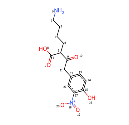 NCCCCC(C(=O)O)C(=O)Cc1ccc(O)c([N+](=O)[O-])c1